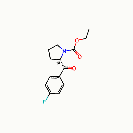 CCOC(=O)N1CCC[C@H]1C(=O)c1ccc(F)cc1